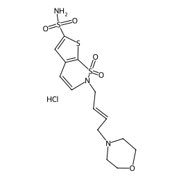 Cl.NS(=O)(=O)c1cc2c(s1)S(=O)(=O)N(C/C=C/CN1CCOCC1)C=C2